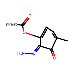 CCCCCC(=O)OC1=CC=C(C)C(=O)C1=NN